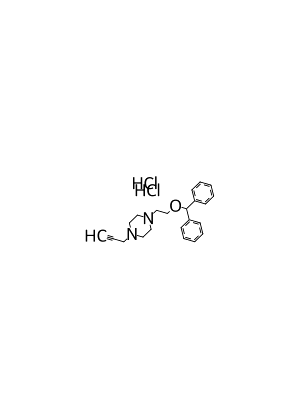 C#CCN1CCN(CCOC(c2ccccc2)c2ccccc2)CC1.Cl.Cl